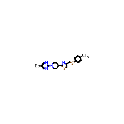 CCc1cnc(N2CCC(c3nc(CSc4ccc(C(F)(F)F)cc4)cs3)CC2)nc1